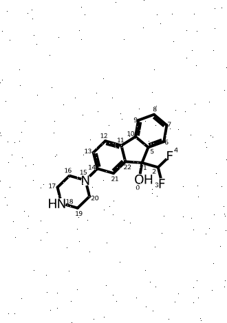 OC1(C(F)F)c2ccccc2-c2ccc(N3CCNCC3)cc21